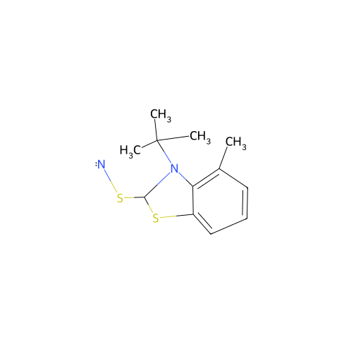 Cc1cccc2c1N(C(C)(C)C)C(S[N])S2